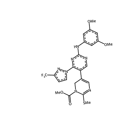 COC(=O)N1CC(c2cnc(Nc3cc(OC)cc(OC)c3)nc2-n2ccc(C(F)(F)F)n2)=CN=C1SC